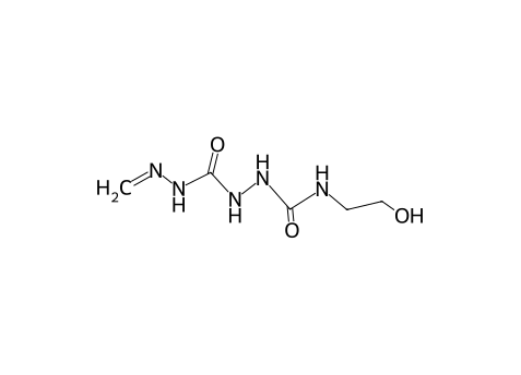 C=NNC(=O)NNC(=O)NCCO